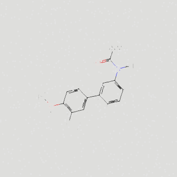 CCCCN(C(=O)NC)c1cccc(-c2ccc(OC(C)C)c(C(=O)O)c2)c1